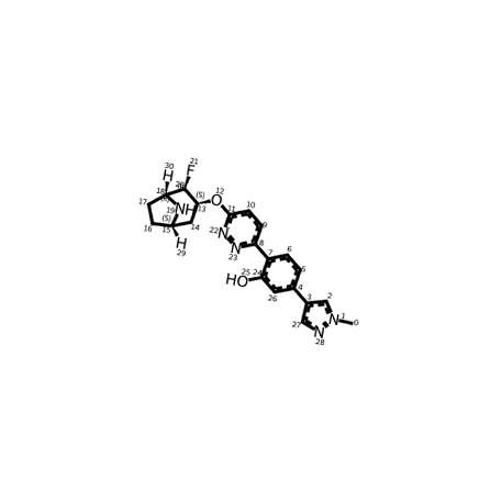 Cn1cc(-c2ccc(-c3ccc(O[C@H]4C[C@@H]5CC[C@@H](N5)[C@H]4F)nn3)c(O)c2)cn1